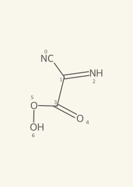 N#CC(=N)C(=O)OO